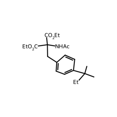 CCOC(=O)C(Cc1ccc(C(C)(C)CC)cc1)(NC(C)=O)C(=O)OCC